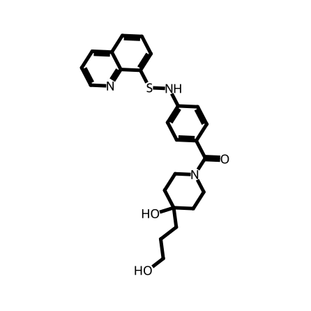 O=C(c1ccc(NSc2cccc3cccnc23)cc1)N1CCC(O)(CCCO)CC1